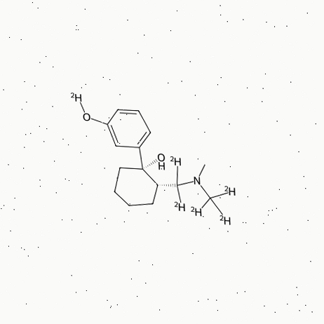 [2H]Oc1cccc([C@]2(O)CCCC[C@H]2C([2H])([2H])N(C)C([2H])([2H])[2H])c1